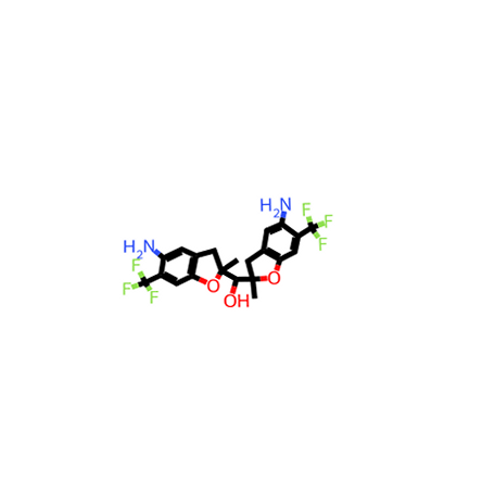 CC1(C(O)C2(C)Cc3cc(N)c(C(F)(F)F)cc3O2)Cc2cc(N)c(C(F)(F)F)cc2O1